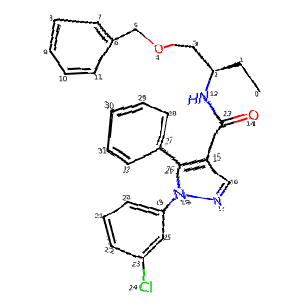 CC[C@H](COCc1ccccc1)NC(=O)c1cnn(-c2cccc(Cl)c2)c1-c1ccccc1